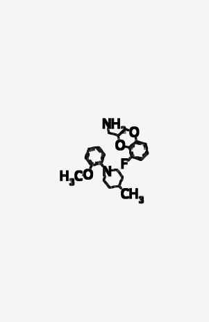 COc1ccccc1N1CCC(C)CC1.NCC1COc2cccc(F)c2O1